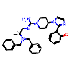 C[C@@H](CN=C(N)N1CCC(n2ccnc2C2C=CC=CC2=O)CC1)N(Cc1ccccc1)Cc1ccccc1